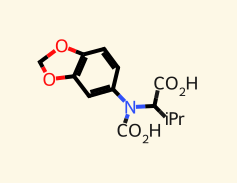 CC(C)C(C(=O)O)N(C(=O)O)c1ccc2c(c1)OCO2